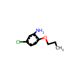 C[CH]COc1ccc(Cl)cc1N